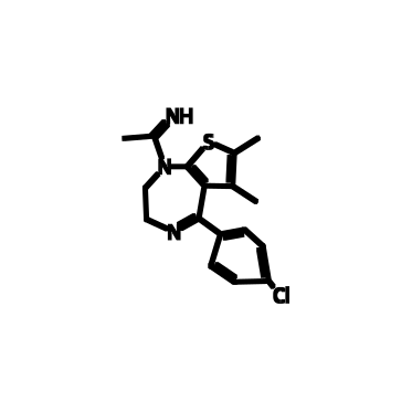 CC(=N)N1CCN=C(c2ccc(Cl)cc2)c2c1sc(C)c2C